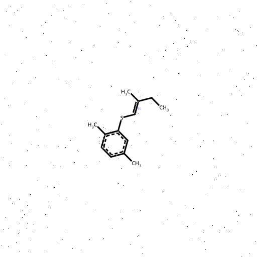 CC/C(C)=C/Sc1cc(C)ccc1C